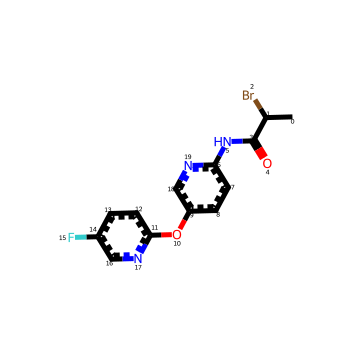 CC(Br)C(=O)Nc1ccc(Oc2ccc(F)cn2)cn1